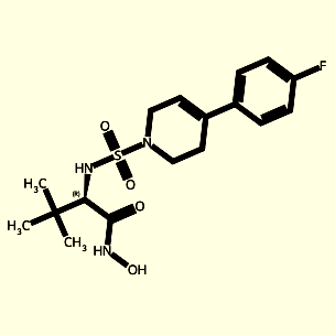 CC(C)(C)[C@@H](NS(=O)(=O)N1CC=C(c2ccc(F)cc2)CC1)C(=O)NO